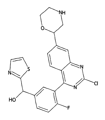 OC(c1ccc(F)c(-c2nc(Cl)nc3cc(C4CNCCO4)ccc23)c1)c1nccs1